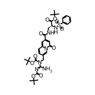 CC(C)(C)OC(=O)/N=C(\N)N(Cc1ccc2cc(C(=O)NC[C@H](NS(=O)(=O)c3ccccc3)C(=O)OC(C)(C)C)cc(=O)n2c1)C(=O)OC(C)(C)C